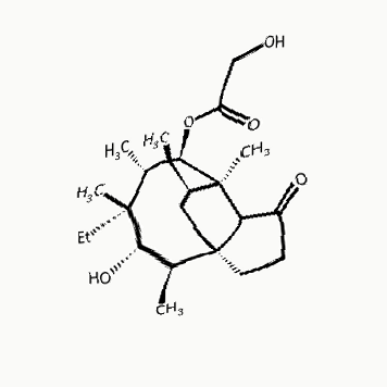 CC[C@]1(C)[C@H](C)[C@@H](OC(=O)CO)[C@@]2(C)C3C(=O)CC[C@@]3(CC[C@H]2C)[C@@H](C)[C@@H]1O